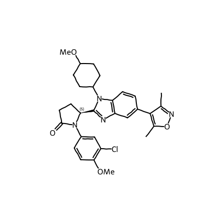 COc1ccc(N2C(=O)CC[C@H]2c2nc3cc(-c4c(C)noc4C)ccc3n2C2CCC(OC)CC2)cc1Cl